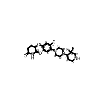 O=C1CCC(Oc2ccc(N3CCN(C4CCNCC4(F)F)CC3)c(F)c2)C(=O)N1